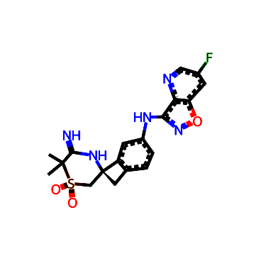 CC1(C)C(=N)N[C@@]2(Cc3ccc(Nc4noc5cc(F)cnc45)cc32)CS1(=O)=O